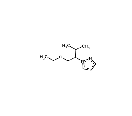 CCOCC(C(C)C)n1cccn1